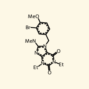 CCn1c(=O)c2c(nc(NC)n2Cc2ccc(OC)c(Br)c2)n(CC)c1=O